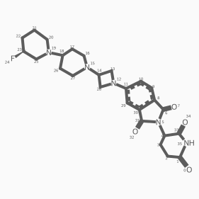 O=C1CCC(N2C(=O)c3ccc(N4CC(N5CCC(N6CCC[C@H](F)C6)CC5)C4)cc3C2=O)C(=O)N1